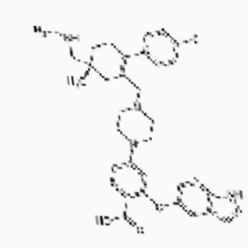 CNC[C@]1(C)CCC(c2ccc(Cl)cc2)=C(CN2CCN(c3ccc(C(=O)O)c(Oc4cnc5[nH]ccc5c4)c3)CC2)C1